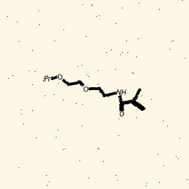 C=C(C)C(=O)NCCOCCOC(C)C